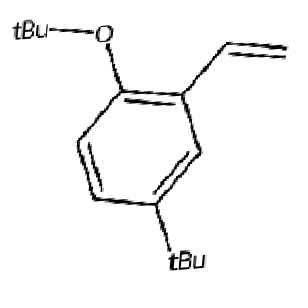 C=Cc1cc(C(C)(C)C)ccc1OC(C)(C)C